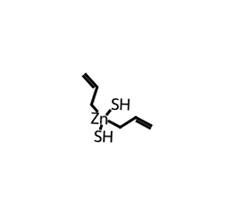 C=C[CH2][Zn]([SH])([SH])[CH2]C=C